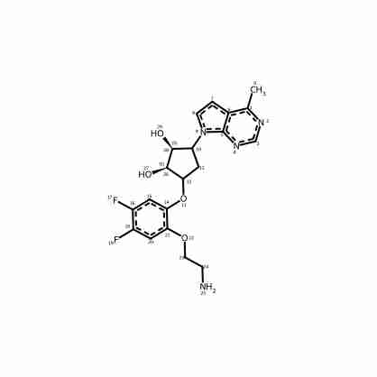 Cc1ncnc2c1ccn2C1CC(Oc2cc(F)c(F)cc2OCCN)[C@@H](O)[C@H]1O